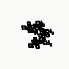 CCCCC(CC)C(=O)OCC(C)(C)COC(=O)C(C)(C)COC(=O)C(C)(C)COC(=O)C(CC)CCCC